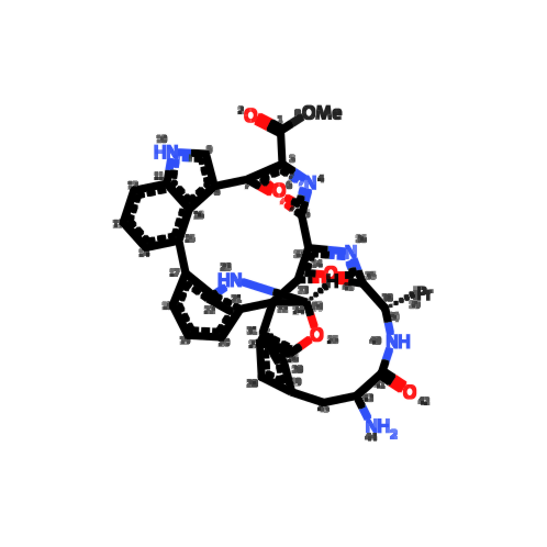 COC(=O)c1nc2oc1-c1c[nH]c3cccc(c13)-c1cccc3c1N[C@H]1Oc4ccc5cc4C31c1oc(nc1-2)[C@H](C(C)C)NC(=O)C(N)C5